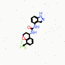 O=C(Nc1cccc2[nH]ncc12)N[C@@H]1CCOc2c1cccc2C(F)(F)F